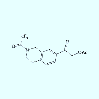 CC(=O)OCC(=O)c1ccc2c(c1)CN(C(=O)C(F)(F)F)CC2